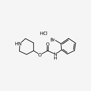 Cl.O=C(Nc1ccccc1Br)OC1CCNCC1